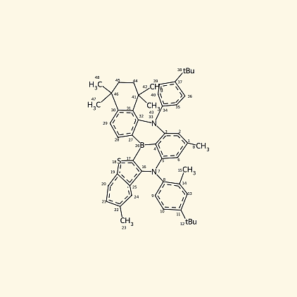 Cc1cc2c3c(c1)N(c1ccc(C(C)(C)C)cc1C)c1c(sc4ccc(C)cc14)B3c1ccc3c(c1N2c1ccc(C(C)(C)C)cc1)C(C)(C)CCC3(C)C